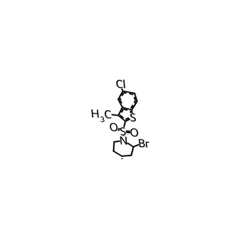 Cc1c(S(=O)(=O)N2CC[CH]CC2Br)sc2ccc(Cl)cc12